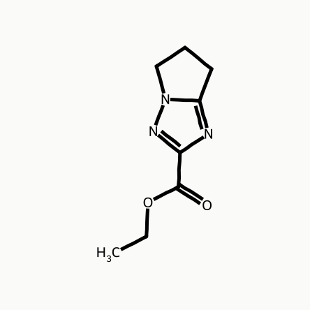 CCOC(=O)c1nc2n(n1)CCC2